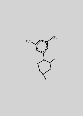 CC1CN(C)CCN1c1cc(C(F)(F)F)cc(C(F)(F)F)c1